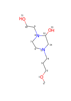 COCCCN1CCN(CCO)C(O)C1